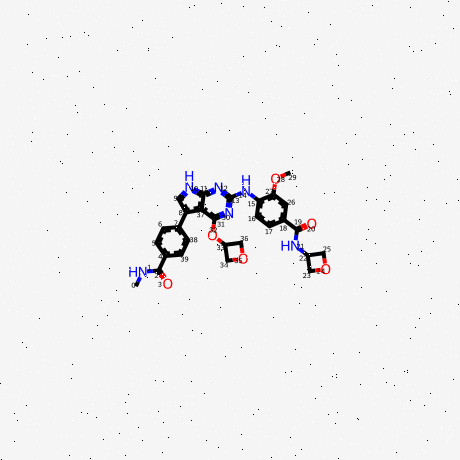 CNC(=O)c1ccc(-c2c[nH]c3nc(Nc4ccc(C(=O)NC5COC5)cc4OC)nc(OC4COC4)c23)cc1